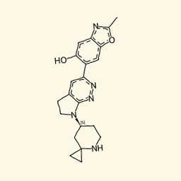 Cc1nc2cc(O)c(-c3cc4c(nn3)N([C@H]3CCNC5(CC5)C3)CC4)cc2o1